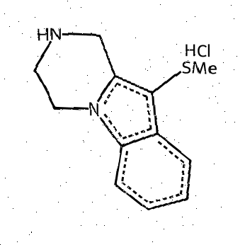 CSc1c2n(c3ccccc13)CCNC2.Cl